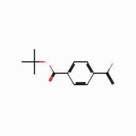 C=C(I)c1ccc(C(=O)OC(C)(C)C)cc1